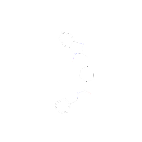 O=C(NCc1ccccc1)[C@H]1CC[C@@H](CC2Nc3ccccc3N2O)CC1